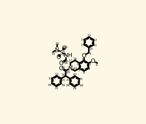 COc1ccc2c(c1OCc1ccccc1)C[C@@H](C(=O)NS(=O)(=O)N(C)C)N(C(=O)C(c1ccccc1)c1ccccc1)C2